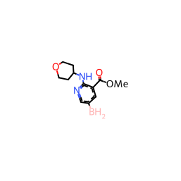 Bc1cnc(NC2CCOCC2)c(C(=O)OC)c1